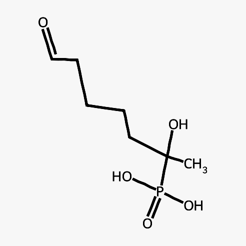 CC(O)(CCCCC=O)P(=O)(O)O